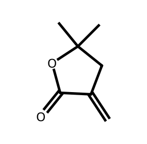 C=C1CC(C)(C)OC1=O